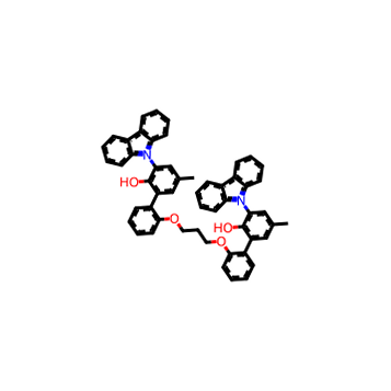 Cc1cc(-c2ccccc2OCCCOc2ccccc2-c2cc(C)cc(-n3c4ccccc4c4ccccc43)c2O)c(O)c(-n2c3ccccc3c3ccccc32)c1